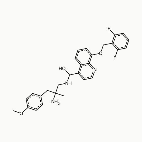 COc1ccc(CC(C)(N)CNC(O)c2ccnc3c(OCc4c(F)cccc4F)cccc23)cc1